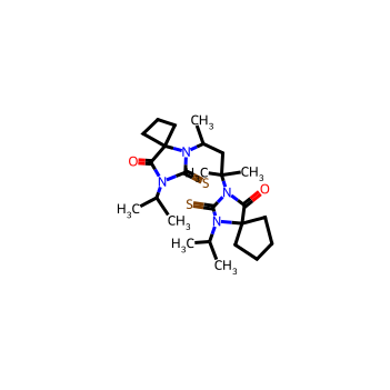 CC(C)N1C(=O)C2(CCC2)N(C(C)CC(C)(C)N2C(=O)C3(CCCC3)N(C(C)C)C2=S)C1=S